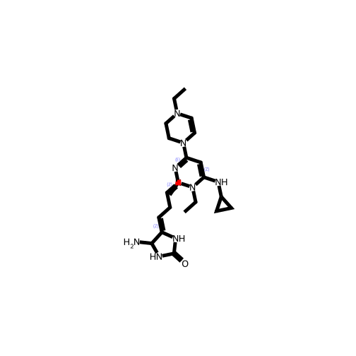 CC/N=C(\C=C(\NC1CC1)N(CC)/N=C\C/C=C1\NC(=O)NC1N)N1C=CN(CC)CC1